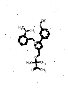 COc1cccc(-c2cc(COC(C)(C)C(C)=O)nn2Cc2ccccc2N(C)C)c1